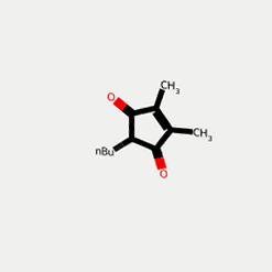 CCCCC1C(=O)C(C)=C(C)C1=O